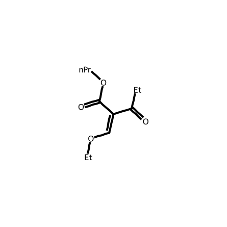 CCCOC(=O)/C(=C\OCC)C(=O)CC